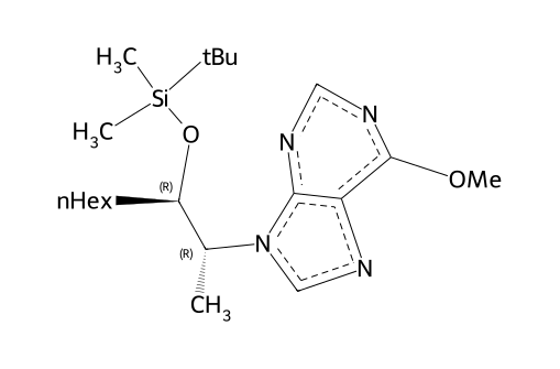 CCCCCC[C@@H](O[Si](C)(C)C(C)(C)C)[C@@H](C)n1cnc2c(OC)ncnc21